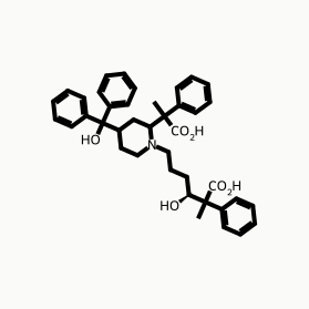 CC(C(=O)O)(c1ccccc1)C1CC(C(O)(c2ccccc2)c2ccccc2)CCN1CCC[C@H](O)C(C)(C(=O)O)c1ccccc1